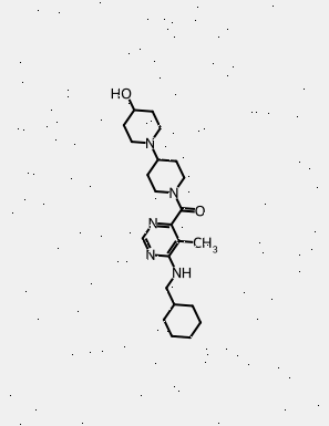 Cc1c(NCC2CCCCC2)ncnc1C(=O)N1CCC(N2CCC(O)CC2)CC1